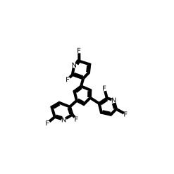 Fc1ccc(-c2cc(-c3ccc(F)nc3F)cc(-c3ccc(F)nc3F)c2)c(F)n1